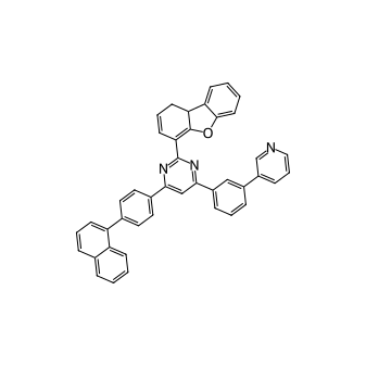 C1=CC(c2nc(-c3ccc(-c4cccc5ccccc45)cc3)cc(-c3cccc(-c4cccnc4)c3)n2)=C2Oc3ccccc3C2C1